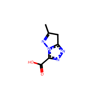 CC1=Nn2c(nnc2C(=O)O)C1